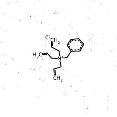 C=CC[N+](CC=C)(CC=C)Cc1ccccc1.[Cl-]